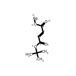 CC(C)(C)OC(=O)C=CC(=O)[O][Ag]